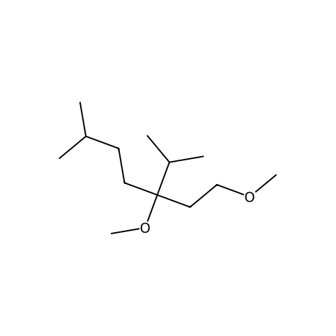 COCCC(CCC(C)C)(OC)C(C)C